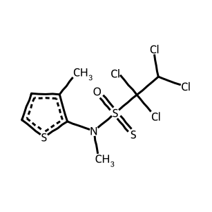 Cc1ccsc1N(C)S(=O)(=S)C(Cl)(Cl)C(Cl)Cl